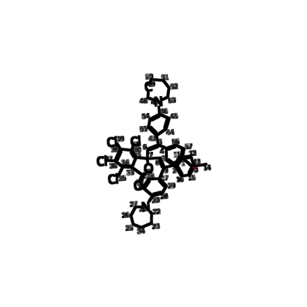 Cc1ccc(C(=CC2(C=C(c3ccc(C)cc3)c3ccc(N4CCCCCC4)cc3)OC(=O)c3c(Cl)c(Cl)c(Cl)c(Cl)c32)c2ccc(N3CCCCCC3)cc2)cc1